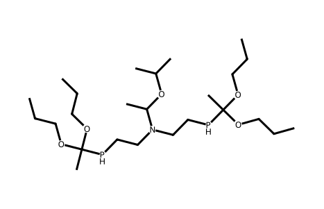 CCCOC(C)(OCCC)PCCN(CCPC(C)(OCCC)OCCC)C(C)OC(C)C